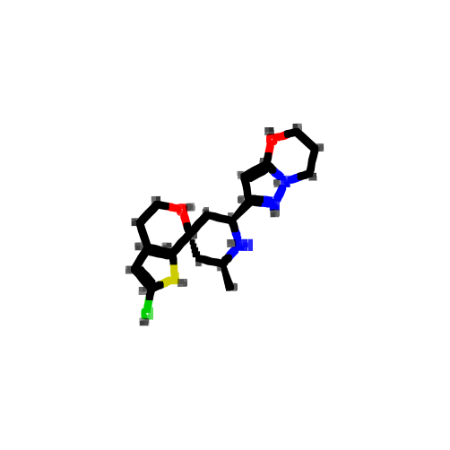 C[C@H]1C[C@@]2(C[C@@H](c3cc4n(n3)CCCO4)N1)OCCc1cc(Cl)sc12